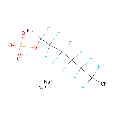 O=P([O-])([O-])OC(F)(C(F)(F)F)C(F)(F)C(F)(F)C(F)(F)C(F)(F)C(F)(F)C(F)(F)F.[Na+].[Na+]